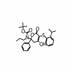 CCCN(C(=O)OC(C)(C)C)C1(c2ccccc2)CC(O)=C(Sc2ccccc2C(C)C)C(=O)O1